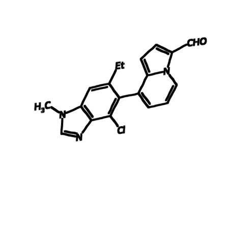 CCc1cc2c(ncn2C)c(Cl)c1-c1cccn2c(C=O)ccc12